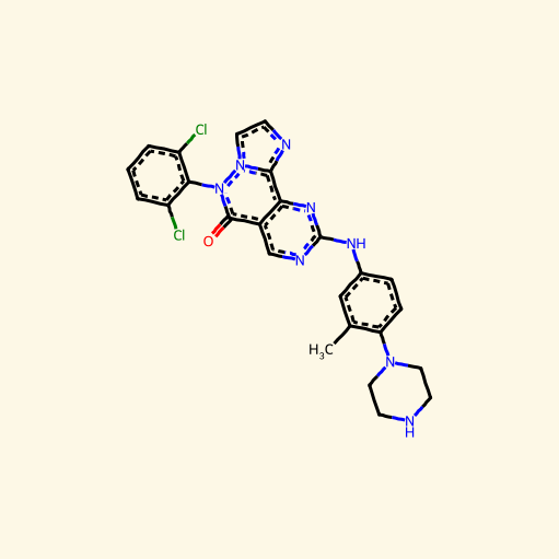 Cc1cc(Nc2ncc3c(=O)n(-c4c(Cl)cccc4Cl)n4ccnc4c3n2)ccc1N1CCNCC1